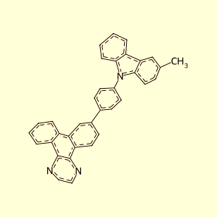 Cc1ccc2c(c1)c1ccccc1n2-c1ccc(-c2ccc3c(c2)c2ccccc2c2nccnc32)cc1